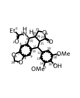 CCC(=O)N[C@@H]1c2cc3c(cc2C(c2cc(OC)c(O)c(OC)c2)C2C(=O)OC[C@@H]21)OCO3